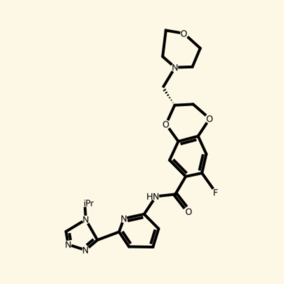 CC(C)n1cnnc1-c1cccc(NC(=O)c2cc3c(cc2F)OC[C@@H](CN2CCOCC2)O3)n1